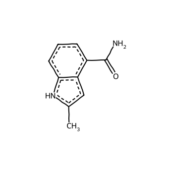 Cc1cc2c(C(N)=O)cccc2[nH]1